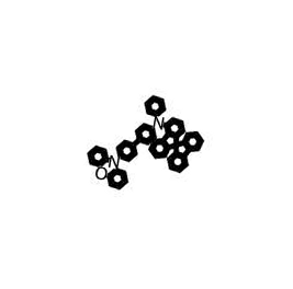 c1ccc(N(c2ccc(-c3ccc(N4c5ccccc5Oc5ccccc54)cc3)cc2)c2cccc3c2-c2ccccc2C32c3ccccc3-c3ccccc32)cc1